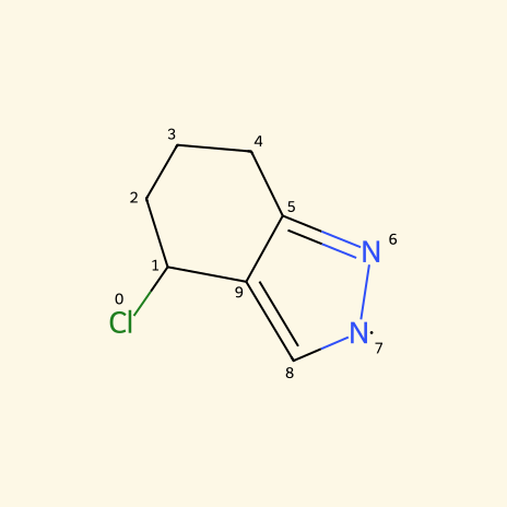 ClC1CCCC2=N[N]C=C21